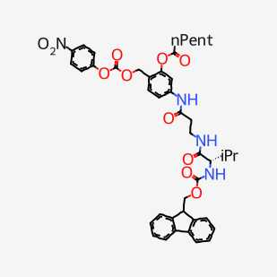 CCCCCC(=O)Oc1cc(NC(=O)CCNC(=O)[C@@H](NC(=O)OCC2c3ccccc3-c3ccccc32)C(C)C)ccc1COC(=O)Oc1ccc([N+](=O)[O-])cc1